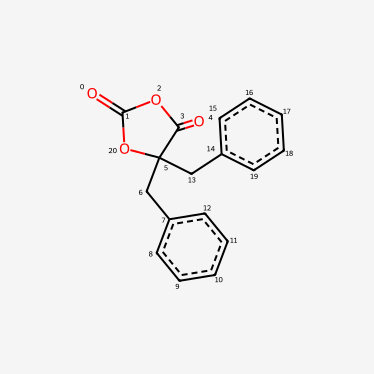 O=C1OC(=O)C(Cc2ccccc2)(Cc2ccccc2)O1